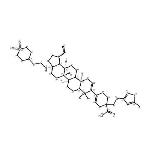 C=C[C@@H]1CC[C@]2(NCCN3CCS(=O)(=O)CC3)CC[C@]3(C)[C@H](CCC4[C@@]5(C)CC=C(C6=CCC(COc7cc(C)sn7)(C(=O)O)CC6)C(C)(C)C5CC[C@]43C)C12